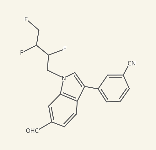 N#Cc1cccc(-c2cn(CC(F)C(F)CF)c3cc(C=O)ccc23)c1